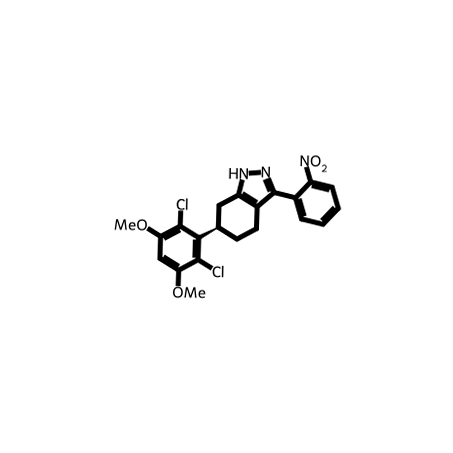 COc1cc(OC)c(Cl)c([C@@H]2CCc3c(-c4ccccc4[N+](=O)[O-])n[nH]c3C2)c1Cl